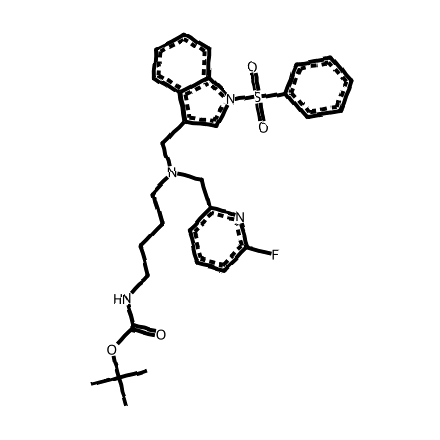 CC(C)(C)OC(=O)NCCCCN(Cc1cccc(F)n1)Cc1cn(S(=O)(=O)c2ccccc2)c2ccccc12